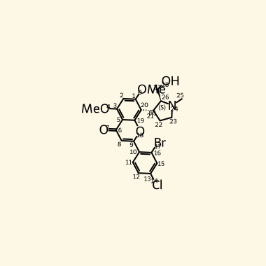 COc1cc(OC)c2c(=O)cc(-c3ccc(Cl)cc3Br)oc2c1[C@H]1CCN(C)[C@@H]1CO